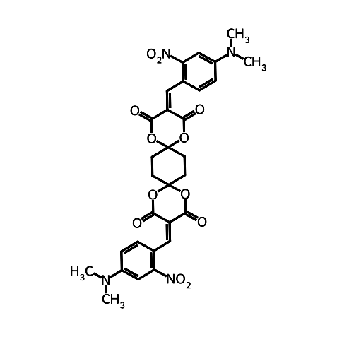 CN(C)c1ccc(C=C2C(=O)OC3(CCC4(CC3)OC(=O)C(=Cc3ccc(N(C)C)cc3[N+](=O)[O-])C(=O)O4)OC2=O)c([N+](=O)[O-])c1